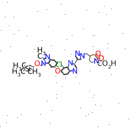 Cc1nc2ccc(Oc3ccc4ncc(-c5cnn(CC6CCN(C(=O)O)S(=O)(=O)C6)c5)nc4c3Cl)cc2n1COCC[Si](C)(C)C